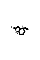 C=C[C@@]1(C)CCC[C@]2(C)OC(=O)CC12